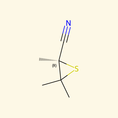 CC1(C)S[C@]1(C)C#N